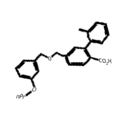 CCCOc1cccc(COCc2ccc(C(=O)O)c(-c3ccccc3C)c2)c1